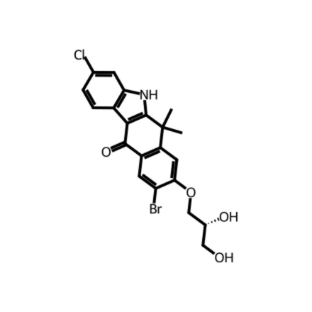 CC1(C)c2cc(OC[C@H](O)CO)c(Br)cc2C(=O)c2c1[nH]c1cc(Cl)ccc21